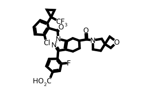 O=C(O)c1ccc(-c2nn(C(=O)c3c(Cl)cccc3C3(C(F)(F)F)CC3)c3c2CCC(C(=O)N2CCC4(COC4)C2)C3)c(F)c1